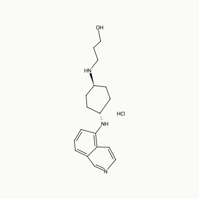 Cl.OCCCN[C@H]1CC[C@H](Nc2cccc3cnccc23)CC1